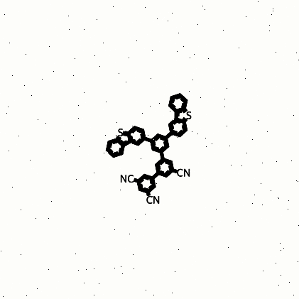 N#Cc1cc(C#N)cc(-c2cc(C#N)cc(-c3cc(-c4ccc5sc6ccccc6c5c4)cc(-c4ccc5sc6ccccc6c5c4)c3)c2)c1